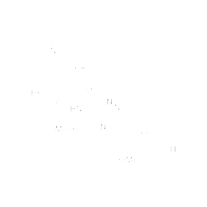 COc1cccc(OC)c1-n1c(NS(=O)(=O)C(C)C(O)c2cscn2)nnc1-c1ccc(C)o1